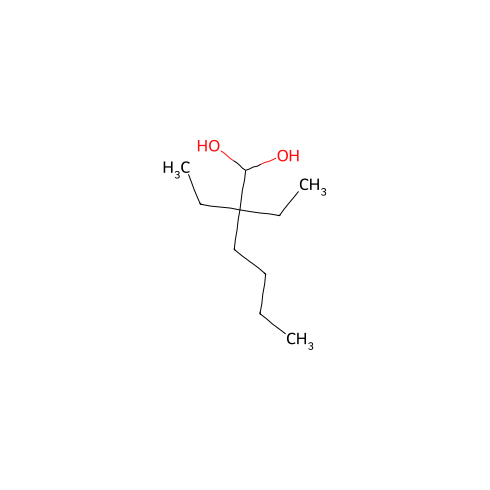 CCCCC(CC)(CC)C(O)O